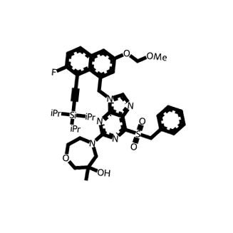 COCOc1cc(Cn2cnc3c(S(=O)(=O)Cc4ccccc4)nc(N4CCOCC(C)(O)C4)nc32)c2c(C#C[Si](C(C)C)(C(C)C)C(C)C)c(F)ccc2c1